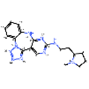 CN1CCCC1CCNc1ncc2c(n1)Nc1ccccc1-n1nnnc1-2